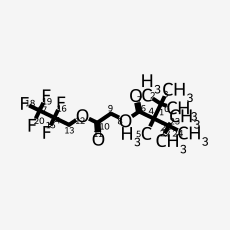 CC(C)(C)C(C)(C(=O)OCC(=O)OCC(F)(F)C(F)(F)F)C(C)(C)C